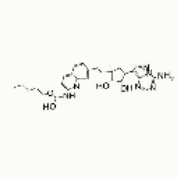 CCCCCOC(O)Nc1ccc2ccc(CC[C@@]3(C)C[C@@H](c4cnn5c(N)ncnc45)[C@H](O)[C@@H]3O)cc2n1